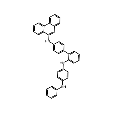 c1ccc(Nc2ccc(Nc3ccccc3-c3ccc(Nc4cc5ccccc5c5ccccc45)cc3)cc2)cc1